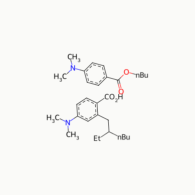 CCCCC(CC)Cc1cc(N(C)C)ccc1C(=O)O.CCCCOC(=O)c1ccc(N(C)C)cc1